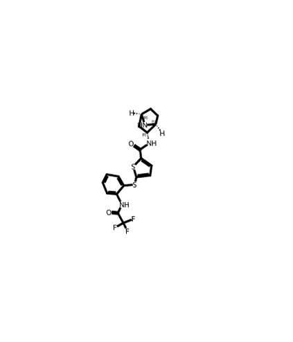 O=C(N[C@@H]1C[C@H]2CC[C@@H]1N2)c1ccc(Sc2ccccc2NC(=O)C(F)(F)F)s1